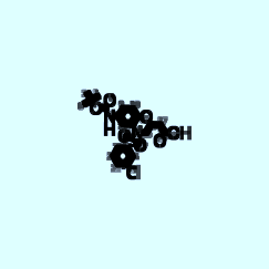 CC(C)(C)OC(=O)Nc1ccc2c(c1)N(S(=O)(=O)c1cccc(Cl)c1)CC(CC(=O)O)O2